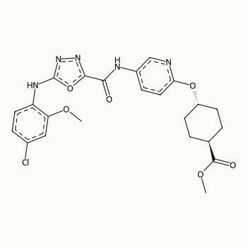 COc1cc(Cl)ccc1Nc1nnc(C(=O)Nc2ccc(O[C@H]3CC[C@H](C(=O)OC)CC3)nc2)o1